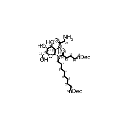 CCCCCCCCCCCCCCCCCCN(C(=O)CCCCCCCCCCCCC)[C@@H]1O[C@H](CO)[C@@H](O)[C@H](O)[C@H]1NC(=O)CN